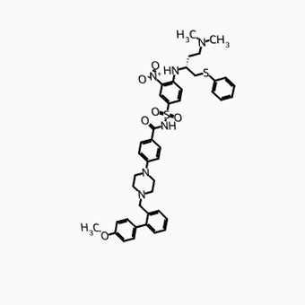 COc1ccc(-c2ccccc2CN2CCN(c3ccc(C(=O)NS(=O)(=O)c4ccc(N[C@H](CCN(C)C)CSc5ccccc5)c([N+](=O)[O-])c4)cc3)CC2)cc1